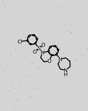 O=S(=O)(c1cccc(Cl)c1)N1CCOc2c(N3CCCNCC3)cccc21